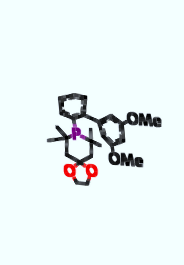 COc1cc(OC)cc(-c2ccccc2P2C(C)(C)CC3(CC2(C)C)OCCO3)c1